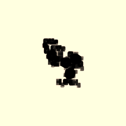 COCCOc1cc2ncnc(Nc3ccc(N(C)c4ccc(N(C)C)cc4)c(C4=CC(=O)C=CC4=O)c3)c2cc1OC